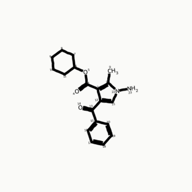 Cc1c(C(=O)OC2CCCCC2)c(C(=O)c2ccccc2)cn1N